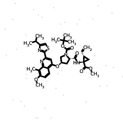 C=C[C@@H]1C[C@]1(NC(=O)[C@@H]1C[C@@H](Oc2cc(-c3nc(C(C)C)cs3)nc3c(C)c(OC)ccc23)CN1C(=O)OC(C)(C)C)C(=O)OC